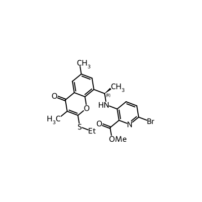 CCSc1oc2c([C@@H](C)Nc3ccc(Br)nc3C(=O)OC)cc(C)cc2c(=O)c1C